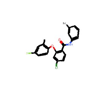 Cc1cc(F)ccc1Oc1cc(Cl)ccc1C(=O)Nc1cccc(C#N)c1